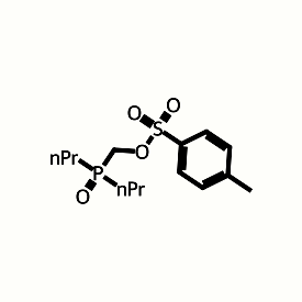 CCCP(=O)(CCC)COS(=O)(=O)c1ccc(C)cc1